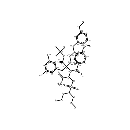 CCCC(CCC)S(=O)(=O)CC(C(N)=O)N(C(=O)c1ccc(OC)cc1)[C@](Cc1cc(F)cc(F)c1)(C(=O)OC(C)(C)C)[C@@H](O)C[AsH]Cc1cccc(CC)c1